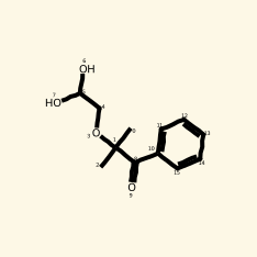 CC(C)(OCC(O)O)C(=O)c1ccccc1